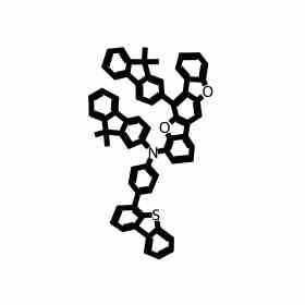 CC1(C)c2ccccc2-c2ccc(-c3c4oc5c(N(c6ccc(-c7cccc8c7sc7ccccc78)cc6)c6ccc7c(c6)C(C)(C)c6ccccc6-7)cccc5c4cc4oc5ccccc5c34)cc21